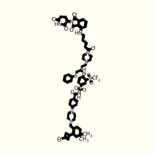 CCC12CC(C3=C(CN4CCN(c5ccc(C(=O)NS(=O)(=O)c6ccc(N[C@H](CCN7CCN(C(=O)CCCCNc8cccc9c8C(=O)N(C8CCC(=O)NC8=O)C9=O)CC7)CSc7ccccc7)c(S(=O)(=O)C(F)(F)F)c6)cc5)CC4)CCC(C)(C)C3)(C1)C2